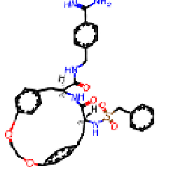 N=C(N)c1ccc(CNC(=O)[C@@H]2Cc3ccc(cc3)OCCOc3ccc(cc3)C[C@@H](NS(=O)(=O)Cc3ccccc3)C(=O)N2)cc1